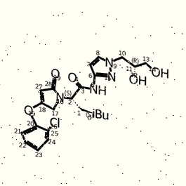 CC[C@H](C)C[C@@H](C(=O)Nc1ccn(C[C@@H](O)CO)n1)N1CC(Oc2ccccc2Cl)=CC1=O